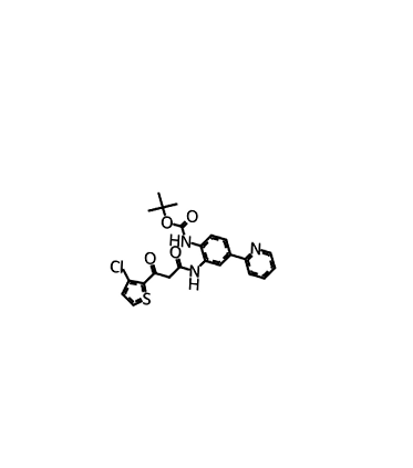 CC(C)(C)OC(=O)Nc1ccc(-c2ccccn2)cc1NC(=O)CC(=O)c1sccc1Cl